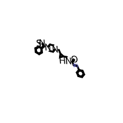 O=C(/C=C/c1ccccc1)NCC1CC1CN1CCN(c2nsc3ccccc23)CC1